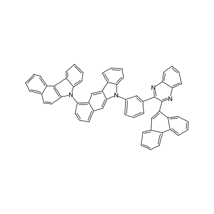 c1cc(-c2nc3ccccc3nc2-c2cc3ccccc3c3ccccc23)cc(-n2c3ccccc3c3cc4c(-n5c6ccccc6c6c7ccccc7ccc65)cccc4cc32)c1